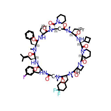 CC(C)=CC[C@@H]1NC(=O)[C@H](Cc2cccc(I)c2)NC(=O)CN(C)C(=O)[C@H](CC2CCC(F)(F)CC2)N(C)C(=O)[C@@H]2CCN2C(=O)[C@@H]2CCCCN2C(=O)[C@H](C2CCC2)NC(=O)[C@H](CC(C)C)N(C)C(=O)C[C@@H](C(=O)N2CCCCC2)N(C)C(=O)[C@H](CC(C)C)NC(=O)[C@H](Cc2ccccc2)N(C)C1=O